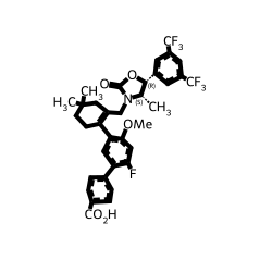 COc1cc(F)c(-c2ccc(C(=O)O)cc2)cc1C1=C(CN2C(=O)O[C@H](c3cc(C(F)(F)F)cc(C(F)(F)F)c3)[C@@H]2C)CC(C)(C)CC1